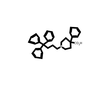 O=C(O)C1(c2ccccc2)CCN(CCCC(c2ccccc2)(c2ccccc2)c2ccccc2)CC1